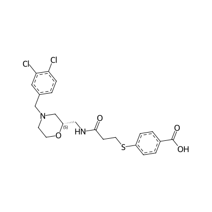 O=C(CCSc1ccc(C(=O)O)cc1)NC[C@H]1CN(Cc2ccc(Cl)c(Cl)c2)CCO1